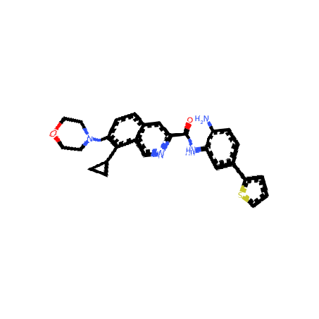 Nc1ccc(-c2cccs2)cc1NC(=O)c1cc2ccc(N3CCOCC3)c(C3CC3)c2cn1